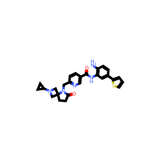 Nc1ccc(-c2cccs2)cc1NC(=O)c1ccc(CN2C(=O)CCC23CN(C2CC2)C3)nc1